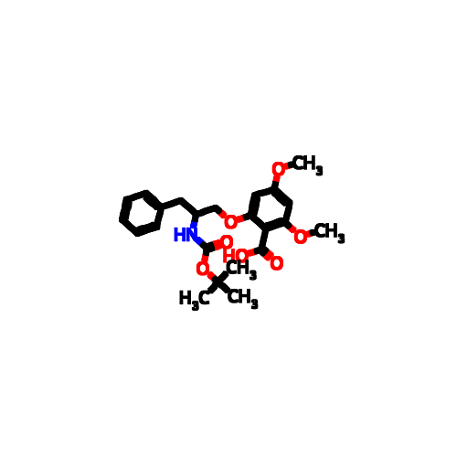 COc1cc(OC)c(C(=O)O)c(OCC(Cc2ccccc2)NC(=O)OC(C)(C)C)c1